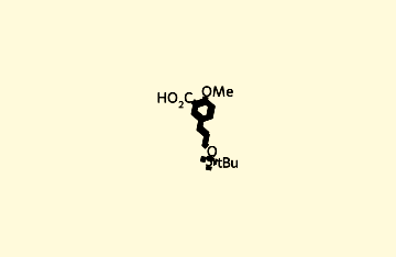 COc1ccc(/C=C/CO[Si](C)(C)C(C)(C)C)cc1C(=O)O